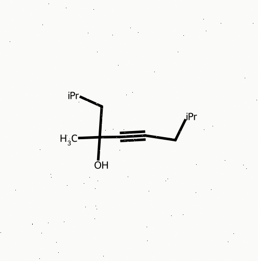 CC(C)CC#CC(C)(O)CC(C)C